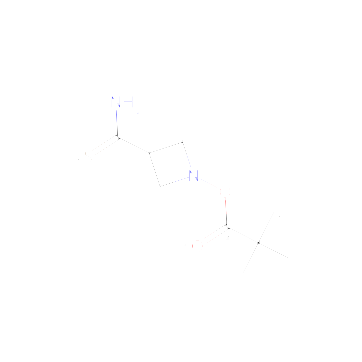 CC(C)(C)C(=O)ON1CC(C(N)=S)C1